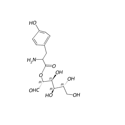 NC(Cc1ccc(O)cc1)C(=O)O[C@@H](C=O)[C@@H](O)[C@H](O)[C@H](O)CO